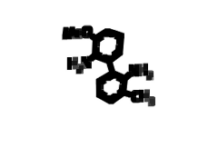 COc1cccc(-c2cccc(C)c2N)c1N